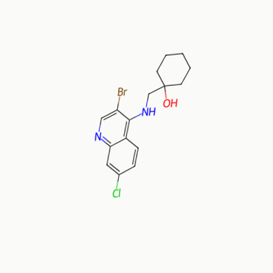 OC1(CNc2c(Br)cnc3cc(Cl)ccc23)CCCCC1